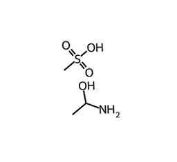 CC(N)O.CS(=O)(=O)O